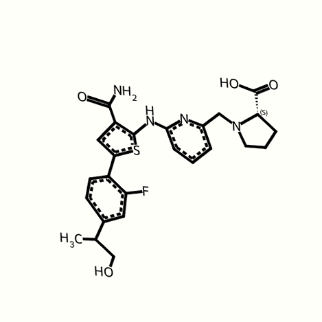 CC(CO)c1ccc(-c2cc(C(N)=O)c(Nc3cccc(CN4CCC[C@H]4C(=O)O)n3)s2)c(F)c1